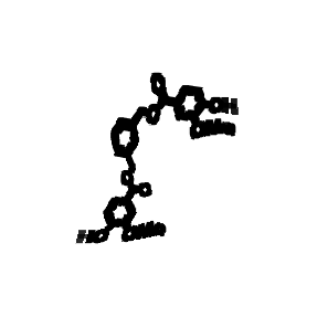 COc1cc(C(=O)OCc2cccc(COC(=O)c3ccc(O)c(OC)c3)c2)ccc1O